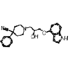 N#CC1(c2ccccc2)CCN(C[C@H](O)COc2cccc3[nH]ccc23)CC1